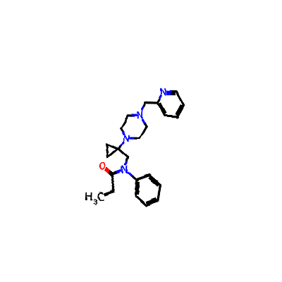 CCC(=O)N(CC1(N2CCN(Cc3ccccn3)CC2)CC1)c1ccccc1